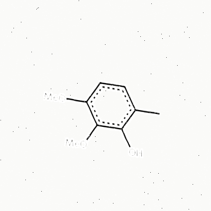 COc1ccc(C)c(O)c1OC